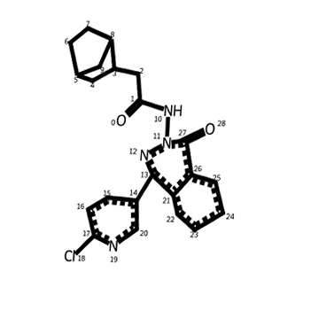 O=C(CC1CC2CCC1C2)Nn1nc(-c2ccc(Cl)nc2)c2ccccc2c1=O